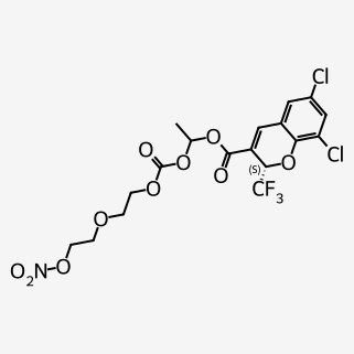 CC(OC(=O)OCCOCCO[N+](=O)[O-])OC(=O)C1=Cc2cc(Cl)cc(Cl)c2O[C@@H]1C(F)(F)F